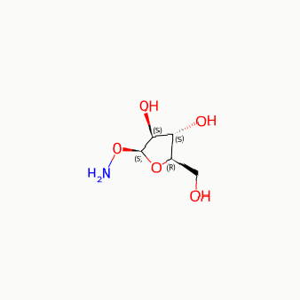 NO[C@@H]1O[C@H](CO)[C@@H](O)[C@@H]1O